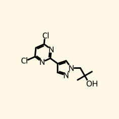 CC(C)(O)Cn1cc(-c2nc(Cl)cc(Cl)n2)cn1